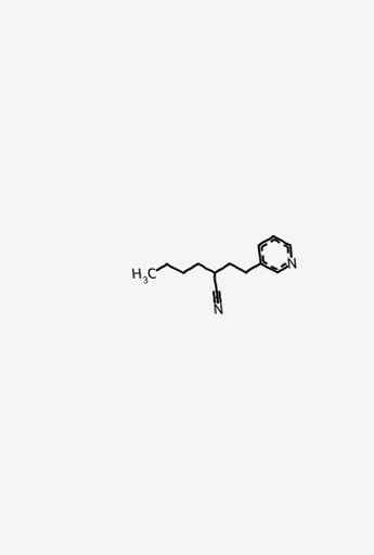 CCCCC(C#N)CCc1cccnc1